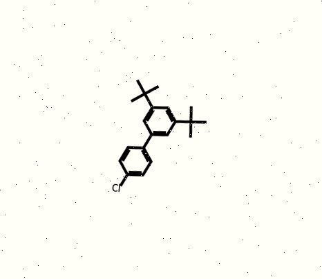 CC(C)(C)c1cc(-c2ccc(Cl)cc2)cc(C(C)(C)C)c1